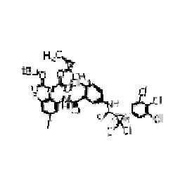 CC1=CC1(C)OC(=O)N(C(=O)OC(C)(C)C)c1c(F)cc(F)cc1NC(=O)c1cc(NC(=O)[C@H]2[C@H](c3cc(Cl)c(Cl)c(Cl)c3)C2(Cl)Cl)ccc1Cl